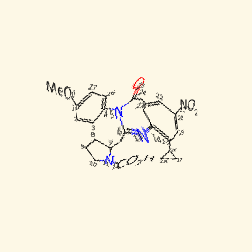 COc1ccc(-n2c(C3CCCN3C(=O)O)nc3c(C4CC4)cc([N+](=O)[O-])cc3c2=O)cc1